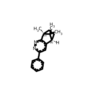 CC1(C)[C@H]2CC[C@]1(C)c1nnc(-c3ccccc3)cc12